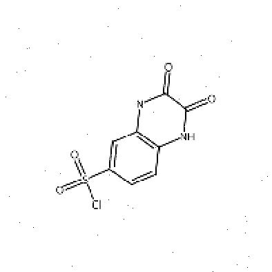 O=C1[N]c2cc(S(=O)(=O)Cl)ccc2NC1=O